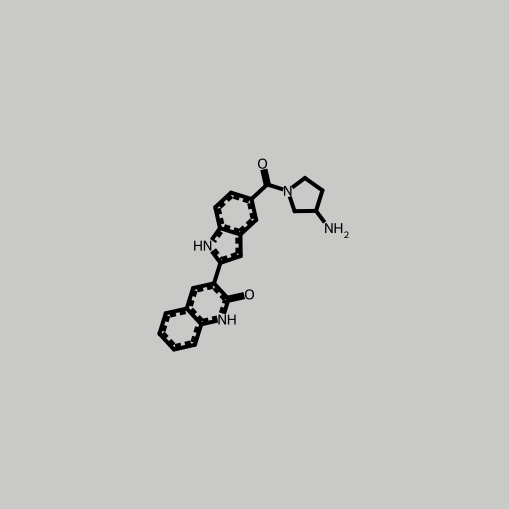 NC1CCN(C(=O)c2ccc3[nH]c(-c4cc5ccccc5[nH]c4=O)cc3c2)C1